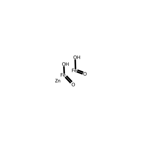 [O]=[Fe][OH].[O]=[Fe][OH].[Zn]